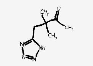 CC(=O)C(C)(C)Cc1nnn[nH]1